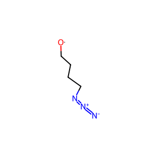 [N-]=[N+]=NCCCC[O]